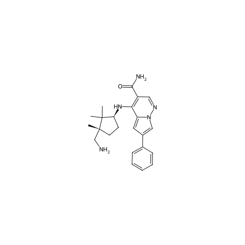 CC1(C)[C@@H](Nc2c(C(N)=O)cnn3cc(-c4ccccc4)cc23)CC[C@]1(C)CN